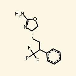 NC1=N[C@@H](CCC(c2ccccc2)C(F)(F)F)CO1